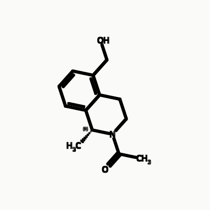 CC(=O)N1CCc2c(CO)cccc2[C@H]1C